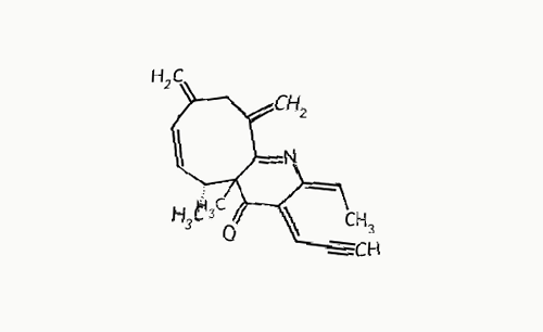 C#C/C=C1/C(=O)C2(C)C(=N/C1=C/C)C(=C)CC(=C)/C=C\[C@H]2C